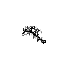 CC(C)COc1cc(C(O)Nc2ccc(C(=O)N[C@H]3CC[C@H](C(=O)Nc4cnc5ccccc5c4)CC3)cc2OCC(C)C)ccc1NC(=O)c1ccc(F)c(OCCO)c1